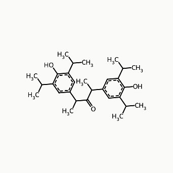 CC(C)c1cc(C(C)C(=O)C(C)c2cc(C(C)C)c(O)c(C(C)C)c2)cc(C(C)C)c1O